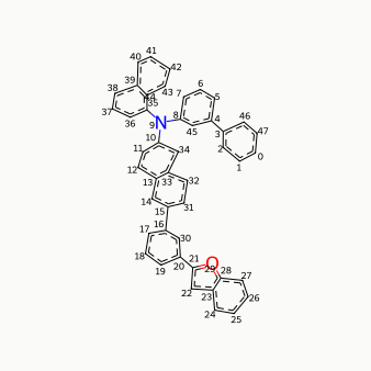 c1ccc(-c2cccc(N(c3ccc4cc(-c5cccc(-c6cc7ccccc7o6)c5)ccc4c3)c3cccc4ccccc34)c2)cc1